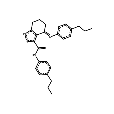 CCCc1ccc(N=C2CCCc3[nH]nc(C(=O)Nc4ccc(CCC)cc4)c32)cc1